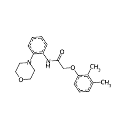 Cc1cccc(OCC(=O)Nc2ccccc2N2CCOCC2)c1C